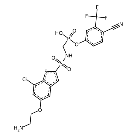 N#Cc1ccc(OP(=O)(O)CNS(=O)(=O)c2cc3cc(OCCN)cc(Cl)c3s2)cc1C(F)(F)F